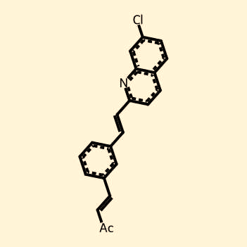 CC(=O)/C=C/c1cccc(/C=C/c2ccc3ccc(Cl)cc3n2)c1